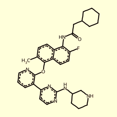 Cc1ccc2c(NC(=O)CC3CCCCC3)c(F)ccc2c1Oc1ncccc1-c1ccnc(NC2CCCNC2)n1